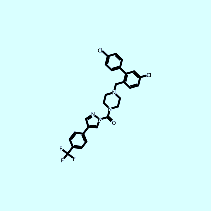 O=C(N1CCN(Cc2ccc(Cl)cc2-c2ccc(Cl)cc2)CC1)n1cc(-c2ccc(C(F)(F)F)cc2)cn1